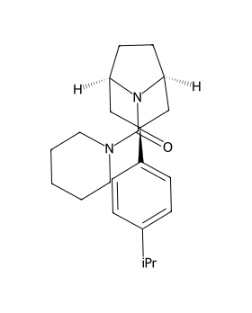 CC(C)c1ccc([C@H]2C[C@H]3CC[C@@H](C2)N3C(=O)N2CCCCC2)cc1